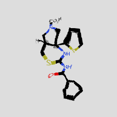 O=C(NC1N[C@@]2(c3cccs3)CN(C(=O)O)C[C@H]2CS1)c1ccccc1